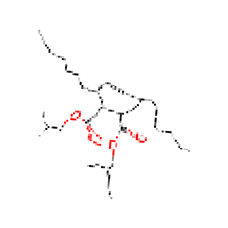 CCCCCCC1C=CC(CCCCC)C(C(=O)OCC(C)C)C1C(=O)OCC(C)C